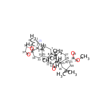 C/C=C\[C@@]1(C)[C@@H]2CC[C@]3(C)C(=CC(=O)[C@@H]4[C@@H]5CC(C)(C)C[C@@H](C(=O)OC)C5CC[C@]43C)[C@@]2(C)CCC12OCCO2